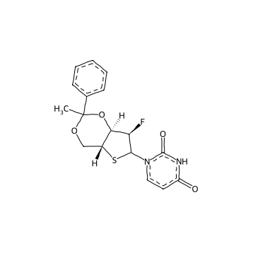 CC1(c2ccccc2)OC[C@H]2SC(n3ccc(=O)[nH]c3=O)[C@H](F)[C@@H]2O1